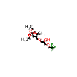 CCO[Si](CCCOCC(O)COCC(F)(F)F)(OCC)OCC